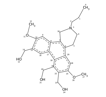 CCCN1CCc2c(c3cc(OC)c(CO)cc3c3c(CO)c(CO)c(OC)cc23)C1